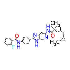 CCC1(C(=O)Nc2cc3nc(C4=CC=C(NC(=O)c5ccccc5F)CC4)[nH]c3cn2)CCC(CC2CC2C)C1